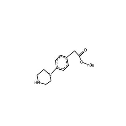 CCCCOC(=O)Cc1ccc(N2CCNCC2)cc1